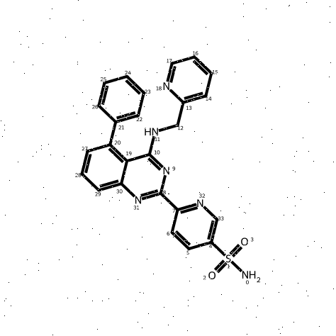 NS(=O)(=O)c1ccc(-c2nc(NCc3ccccn3)c3c(-c4ccccc4)cccc3n2)nc1